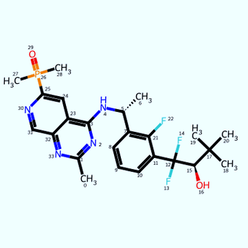 Cc1nc(N[C@H](C)c2cccc(C(F)(F)[C@H](O)C(C)(C)C)c2F)c2cc(P(C)(C)=O)ncc2n1